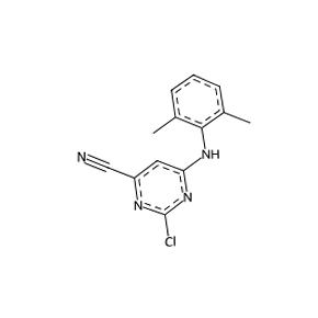 Cc1cccc(C)c1Nc1cc(C#N)nc(Cl)n1